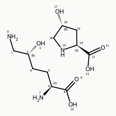 NC[C@H](O)CC[C@H](N)C(=O)O.O=C(O)[C@@H]1C[C@@H](O)CN1